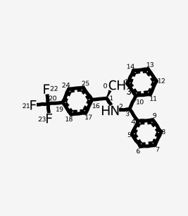 C[C@@H](NC(c1ccccc1)c1ccccc1)c1ccc(C(F)(F)F)cc1